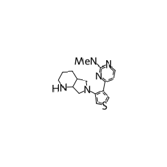 CNc1nccc(-c2cscc2N2CC3CCCNC3C2)n1